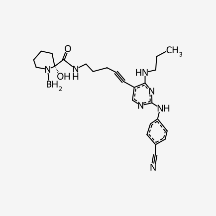 BN1CCCC[C@@]1(O)C(=O)NCCCC#Cc1cnc(Nc2ccc(C#N)cc2)nc1NCCC